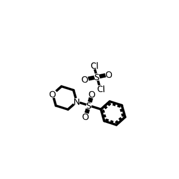 O=S(=O)(Cl)Cl.O=S(=O)(c1ccccc1)N1CCOCC1